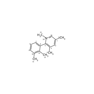 Cc1cc(C)c(-c2cccc(C)c2C)[n+](C)c1